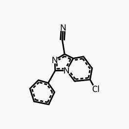 N#Cc1nc(-c2ccccc2)n2cc(Cl)ccc12